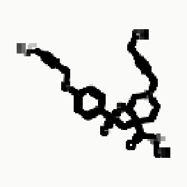 CC#CCOc1ccc(S(=O)(=O)CC2(C(=O)NO)CCN(CC#CCO)CC2)cc1